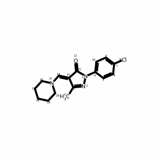 CC1=NN(c2ccc(Cl)cc2)C(=O)/C1=C/N1CCCCC1